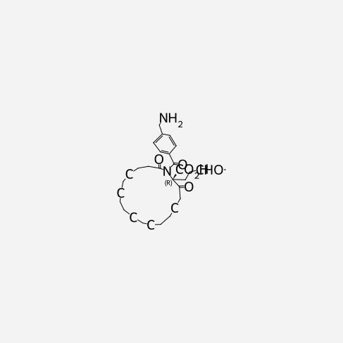 NCc1ccc(C(=O)N2C(=O)CCCCCCCCCCCCCCC(=O)[C@]2(CC[C]=O)C(=O)O)cc1